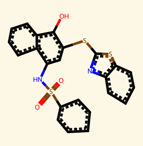 O=S(=O)(Nc1cc(Sc2nc3ccccc3s2)c(O)c2ccccc12)c1ccccc1